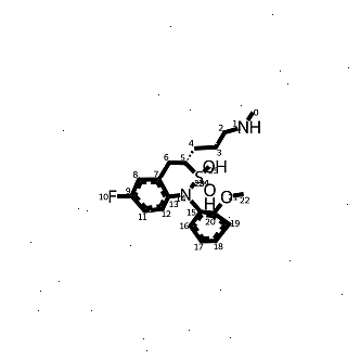 CNCCC[C@H]1Cc2cc(F)ccc2N(c2ccccc2OC)S1(O)O